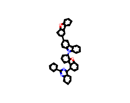 c1ccc(-c2nc(-c3cccc4oc5c(-n6c7ccccc7c7cc(-c8ccc9oc%10ccccc%10c9c8)ccc76)cccc5c34)c3ccccc3n2)cc1